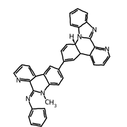 Cn1/c(=N\c2ccccc2)c2ncccc2c2cc(C3=CC4c5cccnc5-c5nc6ccccc6n5[C@H]4C=C3)ccc21